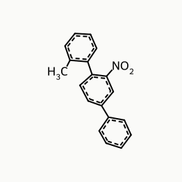 Cc1ccccc1-c1ccc(-c2ccccc2)cc1[N+](=O)[O-]